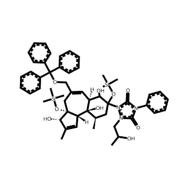 CC1=C[C@@H]2[C@](O[Si](C)(C)C)(CC(COC(c3ccccc3)(c3ccccc3)c3ccccc3)=C[C@H]3C(O)C(O[Si](C)(C)C)(n4c(=O)n(-c5ccccc5)c(=O)n4CC(C)O)C[C@@H](C)[C@]23O)[C@H]1O